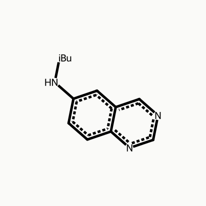 CCC(C)Nc1ccc2ncncc2c1